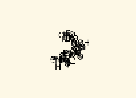 CON=C(C(=O)NC1C(=O)N2CC(COC(=O)NC(=O)C(Cl)(Cl)Cl)(C(=O)O)CS[C@H]12)c1nc(NC=O)sc1Br